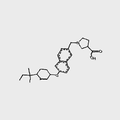 CCC(C)(C)C1CCC(Oc2ccc3cc(CN4CCC(C(=O)O)C4)ccc3c2)CC1